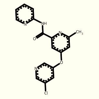 Cc1cc(Oc2cncc(Cl)c2)cc(C(=O)Nc2ccccn2)n1